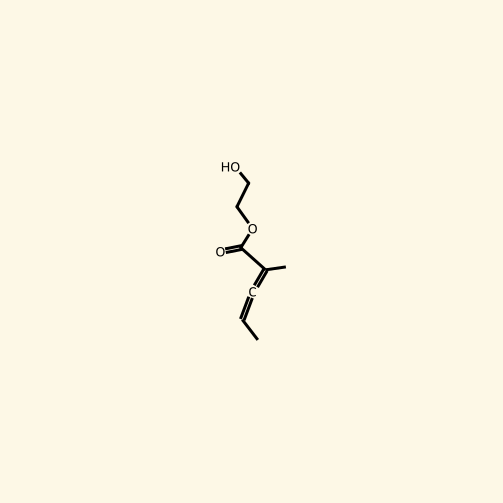 CC=C=C(C)C(=O)OCCO